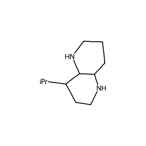 CC(C)C1CCNC2CCCNC21